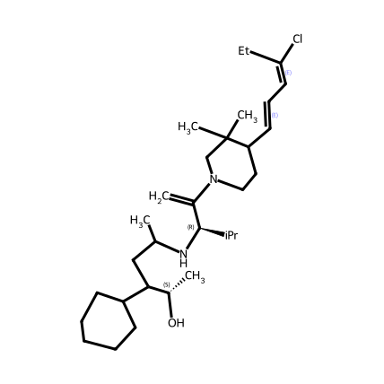 C=C([C@H](NC(C)CC(C1CCCCC1)[C@H](C)O)C(C)C)N1CCC(/C=C/C=C(/Cl)CC)C(C)(C)C1